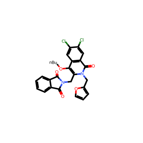 CCCCOc1c(CN2C(=O)c3ccccc3C2=O)n(Cc2ccco2)c(=O)c2cc(Cl)c(Cl)cc12